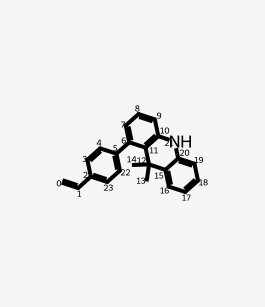 C=Cc1ccc(-c2cccc3c2C(C)(C)c2ccccc2N3)cc1